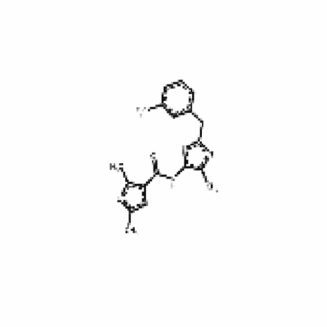 Cc1cc(C(=O)Nc2sc(Cc3cccc(C(F)(F)F)c3)nc2C)c(C)o1